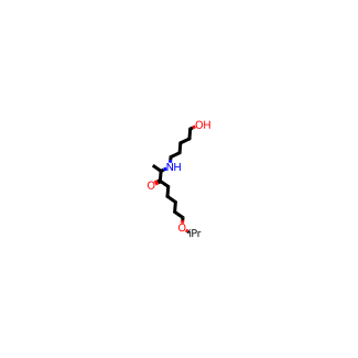 CC(C)OCCCCCC(=O)C(C)NCCCCCO